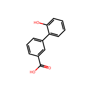 O=C(O)c1cccc(-c2ccccc2O)c1